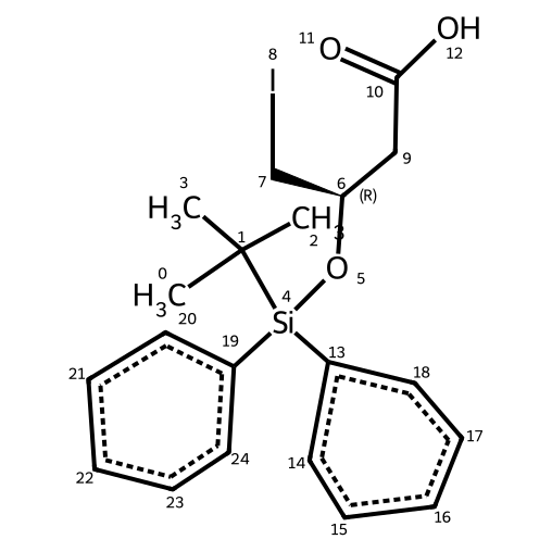 CC(C)(C)[Si](O[C@@H](CI)CC(=O)O)(c1ccccc1)c1ccccc1